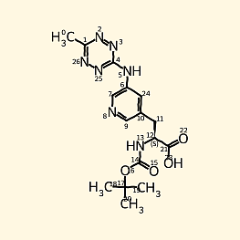 Cc1nnc(Nc2cncc(C[C@H](NC(=O)OC(C)(C)C)C(=O)O)c2)nn1